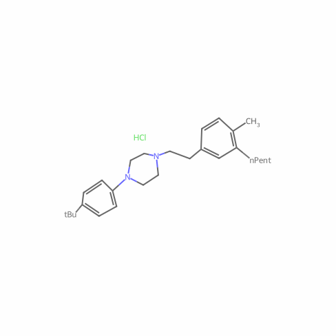 CCCCCc1cc(CCN2CCN(c3ccc(C(C)(C)C)cc3)CC2)ccc1C.Cl